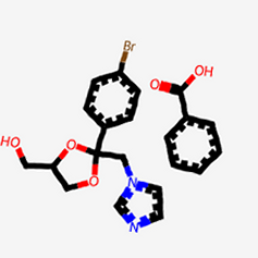 O=C(O)c1ccccc1.OCC1COC(Cn2ccnc2)(c2ccc(Br)cc2)O1